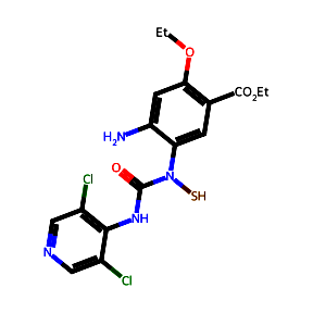 CCOC(=O)c1cc(N(S)C(=O)Nc2c(Cl)cncc2Cl)c(N)cc1OCC